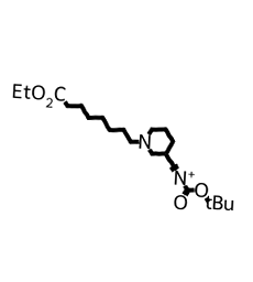 CCOC(=O)CCCCCCCN1CCCC(C#[N+]C(=O)OC(C)(C)C)C1